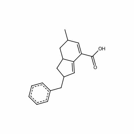 CC1C=C(C(=O)O)C2=CC(Cc3ccccc3)CC2C1